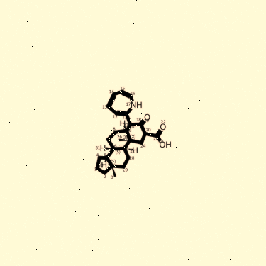 C[C@@]12CCC[C@H]1[C@@H]1CC[C@H]3C(C4=CC=CC=CN4)C(=O)C(C(=O)O)C[C@]3(C)[C@H]1CC2